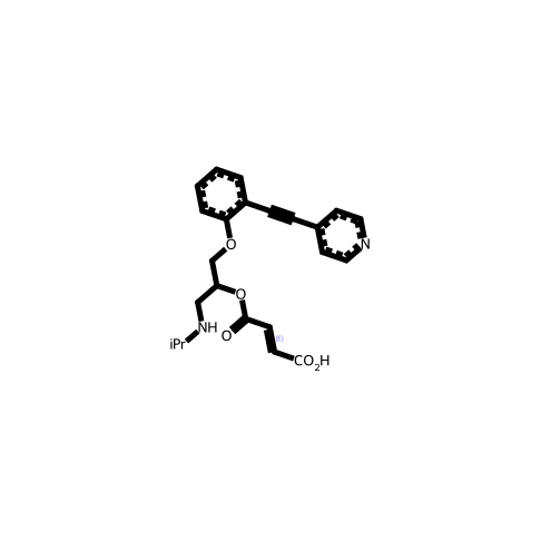 CC(C)NCC(COc1ccccc1C#Cc1ccncc1)OC(=O)/C=C/C(=O)O